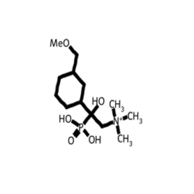 COCC1CCCC(C(O)(C[N+](C)(C)C)P(=O)(O)O)C1